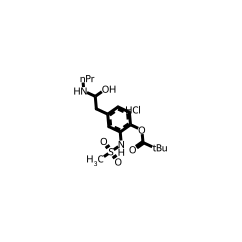 CCCNC(O)Cc1ccc(OC(=O)C(C)(C)C)c(NS(C)(=O)=O)c1.Cl